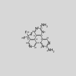 Nc1ncc(-c2nc(N)ncc2-c2ccncc2C(F)(F)F)cn1